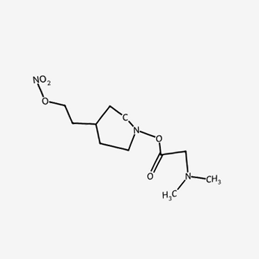 CN(C)CC(=O)ON1CCC(CCO[N+](=O)[O-])CC1